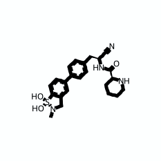 CN1Cc2cc(-c3ccc(C[C@@H](C#N)NC(=O)[C@@H]4CCCCN4)cc3)ccc2S1(O)O